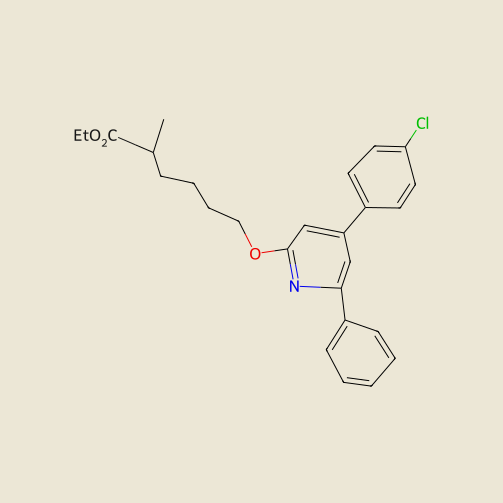 CCOC(=O)C(C)CCCCOc1cc(-c2ccc(Cl)cc2)cc(-c2ccccc2)n1